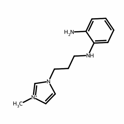 C[n+]1ccn(CCCNc2ccccc2N)c1